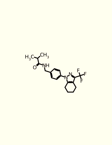 CC(C)C(=O)NCc1ccc(-n2nc(C(F)(F)F)c3c2CCCC3)cc1